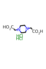 Cl.Cl.O=C(O)CN1CCN(CC(=O)O)CC1